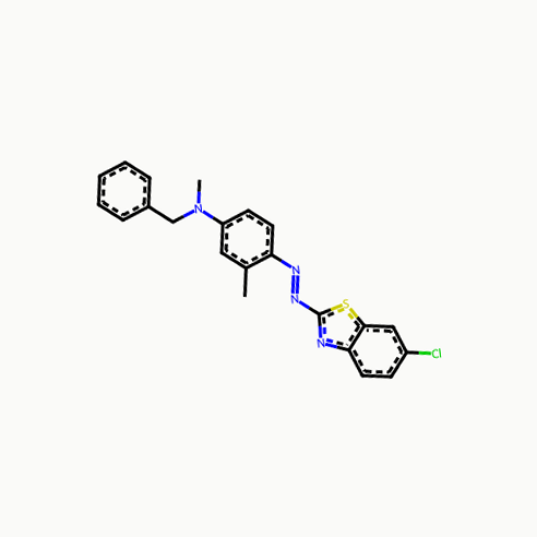 Cc1cc(N(C)Cc2ccccc2)ccc1N=Nc1nc2ccc(Cl)cc2s1